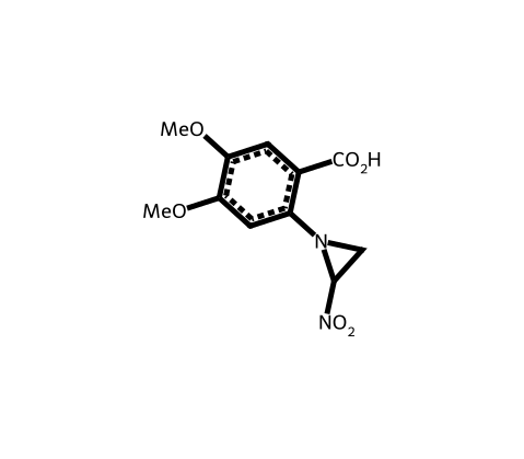 COc1cc(C(=O)O)c(N2CC2[N+](=O)[O-])cc1OC